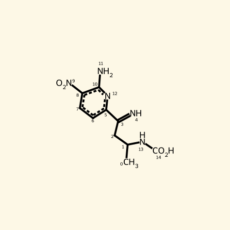 CC(CC(=N)c1ccc([N+](=O)[O-])c(N)n1)NC(=O)O